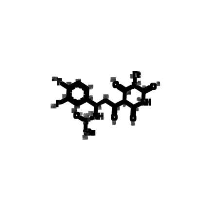 CCN1C(=O)NC(=O)C(C(=O)C[C@@H](N[S+]([O-])C(C)(C)C)c2ccc(F)c(F)c2)C1=O